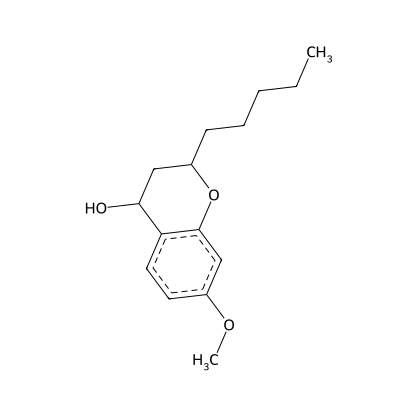 CCCCCC1CC(O)c2ccc(OC)cc2O1